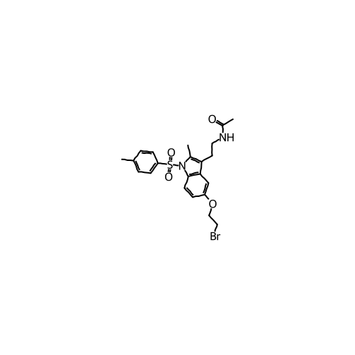 CC(=O)NCCc1c(C)n(S(=O)(=O)c2ccc(C)cc2)c2ccc(OCCBr)cc12